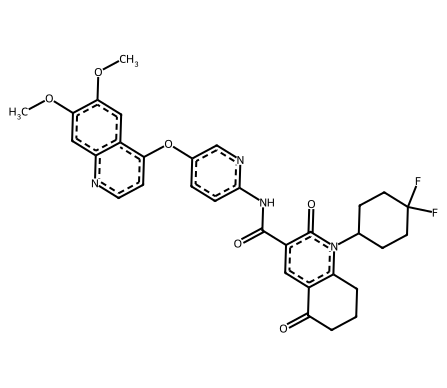 COc1cc2nccc(Oc3ccc(NC(=O)c4cc5c(n(C6CCC(F)(F)CC6)c4=O)CCCC5=O)nc3)c2cc1OC